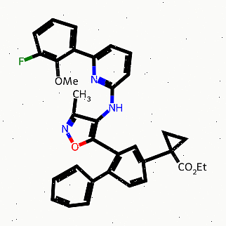 CCOC(=O)C1(c2ccc(-c3ccccc3)c(-c3onc(C)c3Nc3cccc(-c4cccc(F)c4OC)n3)c2)CC1